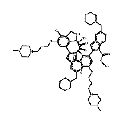 CN1CCN(CCCOc2cc(-c3cc4cc(CN5CCCCC5)ccc4n3C(=O)OC(C)(C)C)c3c(c2Cl)CNC3C(=O)C2NCc3c(Cl)c(OCCCN4CCN(C)CC4)cc(-c4cc5cc(CN6CCCCC6)ccc5n4C(=O)OC(C)(C)C)c32)CC1